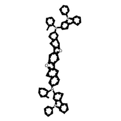 Cc1ccccc1N(c1ccc2cc3c(cc2c1)oc1cc2c(cc13)oc1cc3cc(N(c4ccc5c6ccccc6n(-c6ccccc6)c5c4)c4ccccc4C)ccc3cc12)c1ccc2c3ccccc3n(-c3ccccc3)c2c1